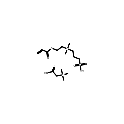 C=CC(=O)OCC[N+](C)(C)CCCS(=O)(=O)O.C[N+](C)(C)CC(=O)O